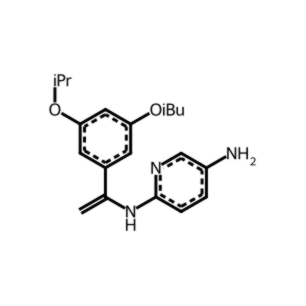 C=C(Nc1ccc(N)cn1)c1cc(OCC(C)C)cc(OC(C)C)c1